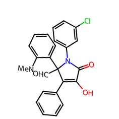 CNc1ccccc1C1(C=O)C(c2ccccc2)=C(O)C(=O)N1c1cccc(Cl)c1